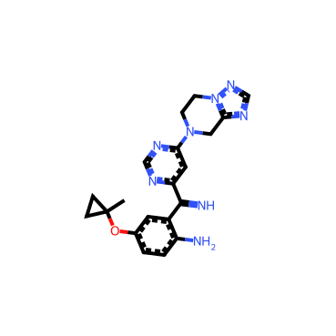 CC1(Oc2ccc(N)c(C(=N)c3cc(N4CCn5ncnc5C4)ncn3)c2)CC1